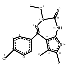 CON1N=C(c2ccc(Cl)cc2)c2c(sc(C)c2C)NC1=S